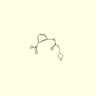 O=C(CC1COC1)Oc1cccc([N+](=O)[O-])c1